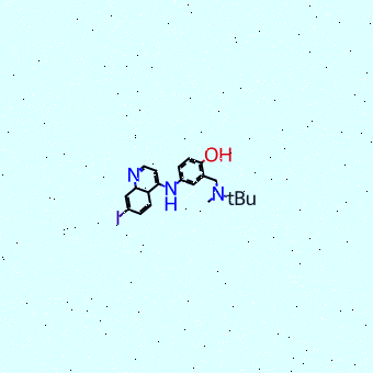 CN(Cc1cc(NC2=CC=NC3C=C(I)C=CC23)ccc1O)C(C)(C)C